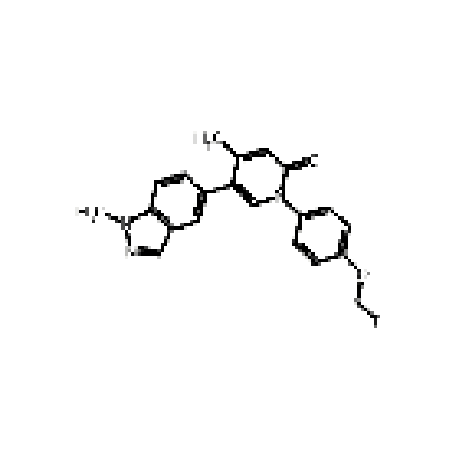 Cc1cc(=O)n(-c2ccc(OCF)cc2)cc1-c1ccc2c(cnn2C)c1